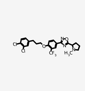 CN1CCCC1c1nc(-c2ccc(OCCCc3ccc(Cl)c(Cl)c3)c(C(F)(F)F)c2)no1